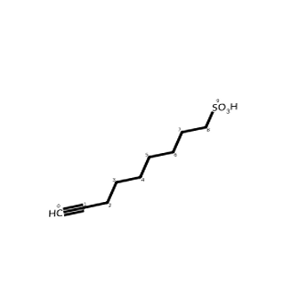 C#CCCCCCCCS(=O)(=O)O